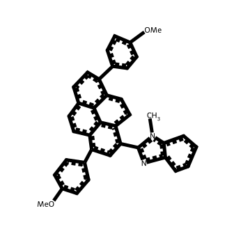 COc1ccc(-c2ccc3ccc4c(-c5ccc(OC)cc5)cc(-c5nc6ccccc6n5C)c5ccc2c3c45)cc1